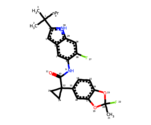 CCCC(C)(C)c1cc2cc(NC(=O)C3(c4ccc5c(c4)OC(C)(F)O5)CC3)c(F)cc2[nH]1